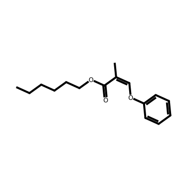 CCCCCCOC(=O)C(C)=COc1ccccc1